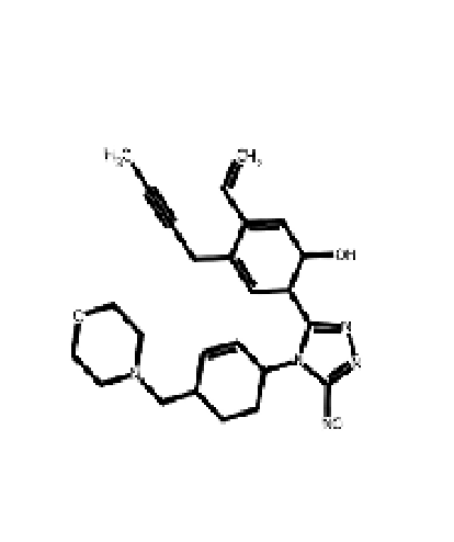 C=CC1=CC(O)C(c2nnc(N=O)n2C2C=CC(CN3CCOCC3)CC2)C=C1CC#CC